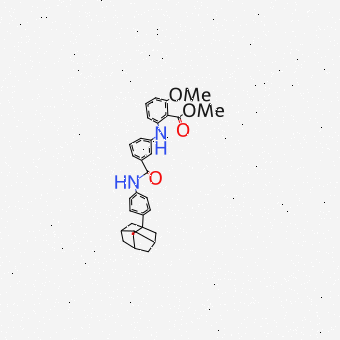 COC(=O)c1c(Nc2cccc(C(=O)Nc3ccc(C45CC6CC(CC(C6)C4)C5)cc3)c2)cccc1OC